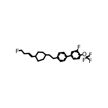 FCCC=CC1CCC(CCc2ccc(-c3ccc(OC(F)(F)F)c(F)c3)cc2)CC1